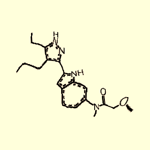 CCCc1c(-c2cc3ccc(N(C)C(=O)COC)cc3[nH]2)n[nH]c1CC